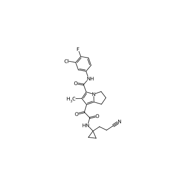 Cc1c(C(=O)C(=O)NC2(CCC#N)CC2)c2n(c1C(=O)Nc1ccc(F)c(Cl)c1)CCC2